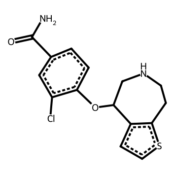 NC(=O)c1ccc(OC2CNCCc3sccc32)c(Cl)c1